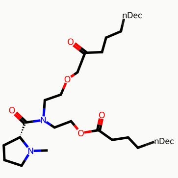 CCCCCCCCCCCCCC(=O)COCCN(CCOC(=O)CCCCCCCCCCCCC)C(=O)[C@H]1CCCN1C